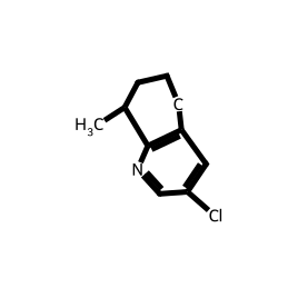 CC1CCCc2cc(Cl)cnc21